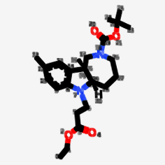 CCOC(=O)CCN1c2ccc(C)cc2[C@]2(C)CN(C(=O)OC(C)(C)C)CCC[C@H]12